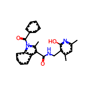 Cc1cc(C)c(CNC(=O)c2c(C)n(C(=O)c3ccccc3)c3ccccc23)c(O)n1